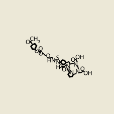 CC(=O)c1ccc(OC(=O)OCCOCCNC(=S)Nc2ccc(CC3CN(CC(=O)O)CCN(CC(=O)O)Cc4cccc(n4)CN3CC(=O)O)cc2)cc1